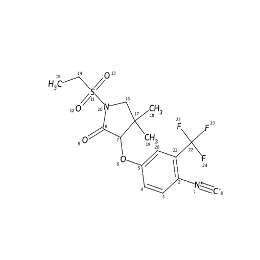 [C-]#[N+]c1ccc(OC2C(=O)N(S(=O)(=O)CC)CC2(C)C)cc1C(F)(F)F